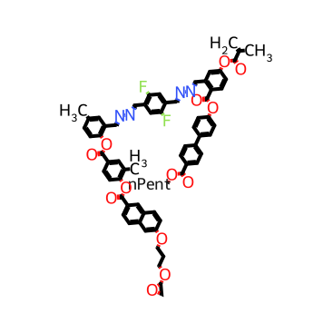 C=C(C)C(=O)Oc1ccc(C(=O)Oc2ccc(-c3ccc(C(=O)OCCCCC)cc3)cc2)c(/C=N/N=C/c2cc(F)c(/C=N/N=C/c3cc(C)ccc3OC(=O)c3ccc(OC(=O)c4ccc5cc(OCCCOC6CO6)ccc5c4)c(C)c3)cc2F)c1